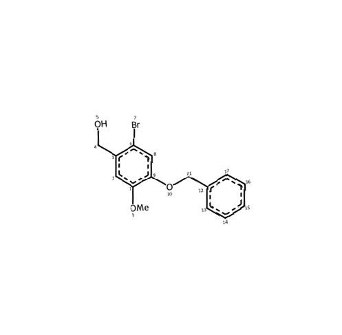 COc1cc(CO)c(Br)cc1OCc1ccccc1